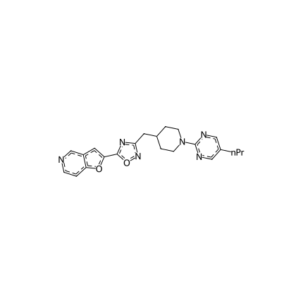 CCCc1cnc(N2CCC(Cc3noc(-c4cc5cnccc5o4)n3)CC2)nc1